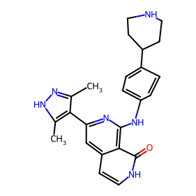 Cc1n[nH]c(C)c1-c1cc2cc[nH]c(=O)c2c(Nc2ccc(C3CCNCC3)cc2)n1